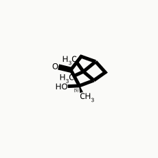 CC1(C)C2CC(=O)[C@@](C)(O)C1C2